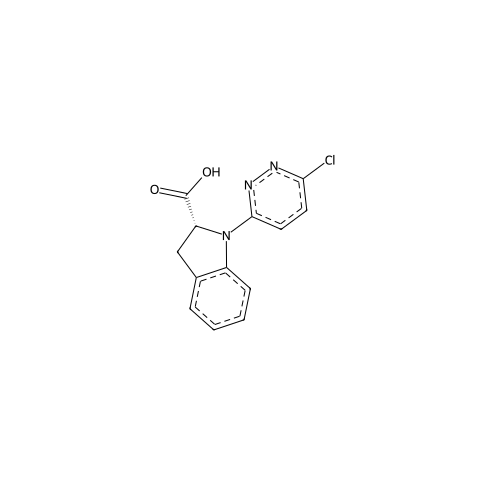 O=C(O)[C@H]1Cc2ccccc2N1c1ccc(Cl)nn1